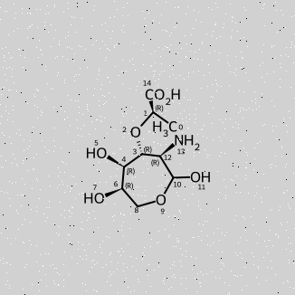 C[C@@H](O[C@H]1[C@H](O)[C@H](O)COC(O)[C@@H]1N)C(=O)O